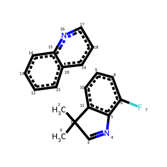 CC1(C)C=Nc2c(F)cccc21.c1ccc2ncccc2c1